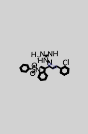 N=C(N)N/N=C(/C=C/c1ccccc1Cl)c1cn(S(=O)(=O)c2ccccc2)c2ccccc12